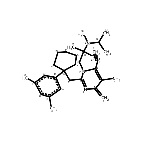 C=CC1=C(C)C(=C)N=C(CC2(c3cc(C)cc(C)c3)CCCCC2)N1CC(C)(C)N(C)C(C)C